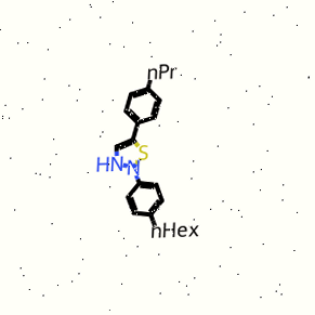 CCCCCCc1ccc(N2NC=C(c3ccc(CCC)cc3)S2)cc1